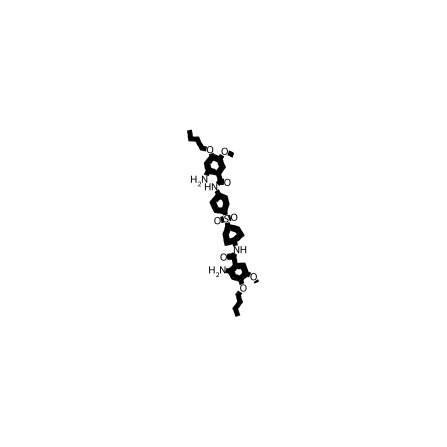 CCCCOc1cc(N)c(C(=O)Nc2ccc(S(=O)(=O)c3ccc(NC(=O)c4cc(OC)c(OCCCC)cc4N)cc3)cc2)cc1OC